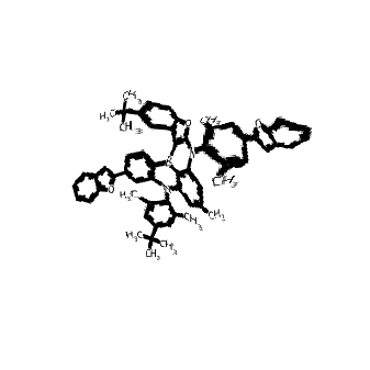 Cc1cc2c3c(c1)N(c1c(C)cc(-c4cc5ccccc5o4)cc1C)c1oc4ccc(C(C)(C)C)cc4c1B3c1ccc(-c3cc4ccccc4o3)cc1N2c1c(C)cc(C(C)(C)C)cc1C